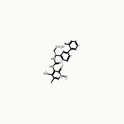 CCOC(=O)C[C@H](NC(=O)Nc1c(O)c(C)cn(CC)c1=O)c1cccc(-c2ccccc2C)c1